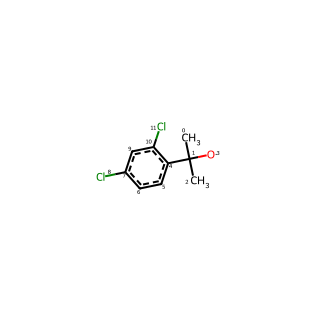 CC(C)([O])c1ccc(Cl)cc1Cl